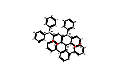 c1ccc(-c2cccc(-c3ccccc3)c2B2c3ccccc3N(c3ccccc3)c3cc(N(c4ccccc4)c4ccccc4)ccc32)cc1